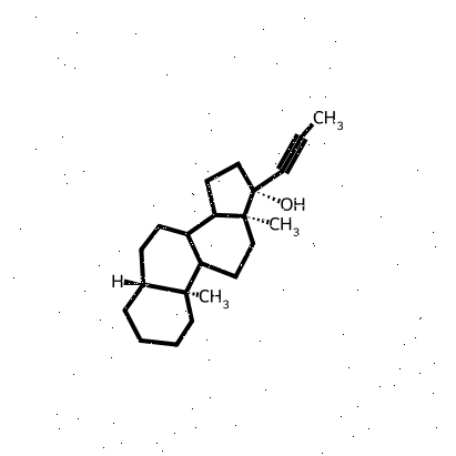 CC#C[C@]1(O)CCC2C3CC[C@H]4CCCC[C@]4(C)C3CC[C@@]21C